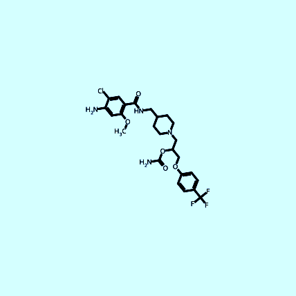 COc1cc(N)c(Cl)cc1C(=O)NCC1CCN(CC(COc2ccc(C(F)(F)F)cc2)OC(N)=O)CC1